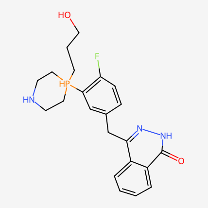 O=c1[nH]nc(Cc2ccc(F)c([PH]3(CCCO)CCNCC3)c2)c2ccccc12